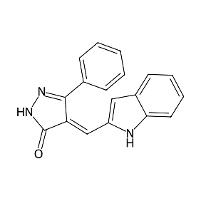 O=C1NN=C(c2ccccc2)/C1=C\c1cc2ccccc2[nH]1